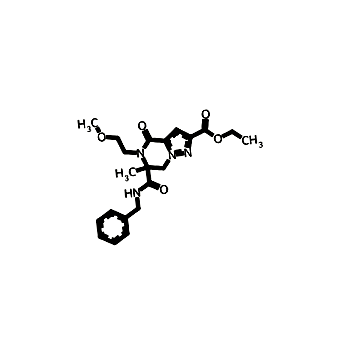 CCOC(=O)c1cc2n(n1)CC(C)(C(=O)NCc1ccccc1)N(CCOC)C2=O